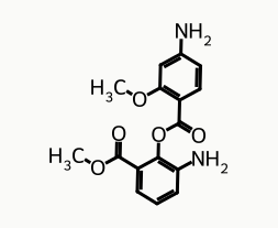 COC(=O)c1cccc(N)c1OC(=O)c1ccc(N)cc1OC